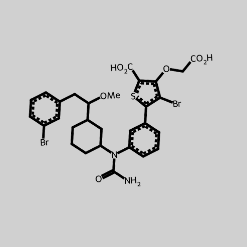 COC(Cc1cccc(Br)c1)C1CCCC(N(C(N)=O)c2cccc(-c3sc(C(=O)O)c(OCC(=O)O)c3Br)c2)C1